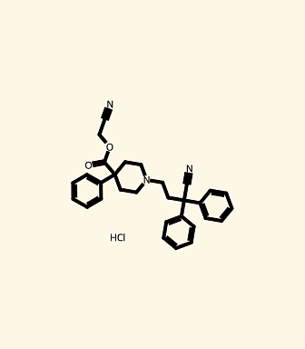 Cl.N#CCOC(=O)C1(c2ccccc2)CCN(CCC(C#N)(c2ccccc2)c2ccccc2)CC1